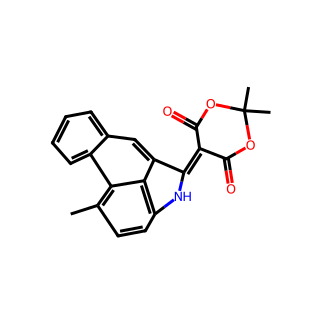 Cc1ccc2[nH]c(=C3C(=O)OC(C)(C)OC3=O)c3cc4ccccc4c1c23